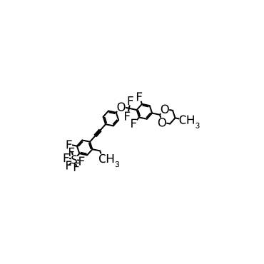 CCc1cc(S(F)(F)(F)(F)F)c(F)cc1C#Cc1ccc(OC(F)(F)c2c(F)cc(C3OCC(C)CO3)cc2F)cc1